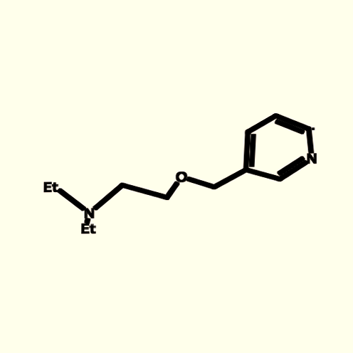 CCN(CC)CCOCc1cc[c]nc1